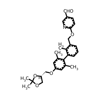 Cc1cc(OC[C@@H]2COC(C)(C)O2)cc(C)c1-c1cccc(COc2ccc(C=O)cn2)c1C